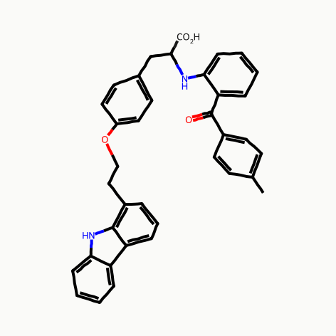 Cc1ccc(C(=O)c2ccccc2NC(Cc2ccc(OCCc3cccc4c3[nH]c3ccccc34)cc2)C(=O)O)cc1